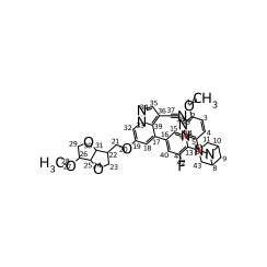 COc1ccc(CN2C3CC2CN(c2ncc(-c4cc(OCC5COC6C(OC)COC56)cn5ncc(C#N)c45)cc2F)C3)cn1